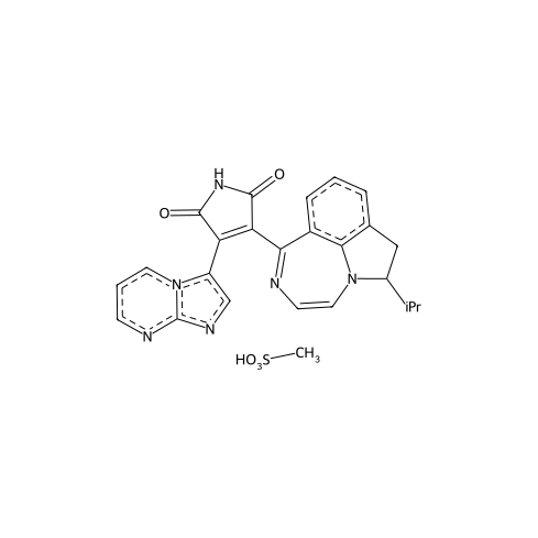 CC(C)C1Cc2cccc3c2N1C=CN=C3C1=C(c2cnc3ncccn23)C(=O)NC1=O.CS(=O)(=O)O